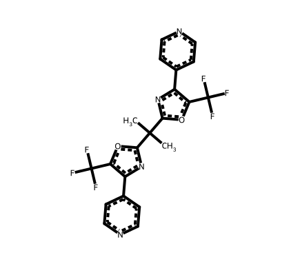 CC(C)(c1nc(-c2ccncc2)c(C(F)(F)F)o1)c1nc(-c2ccncc2)c(C(F)(F)F)o1